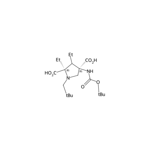 CCC1[C@](CC)(C(=O)O)N(CC(C)(C)C)C[C@@]1(NC(=O)OC(C)(C)C)C(=O)O